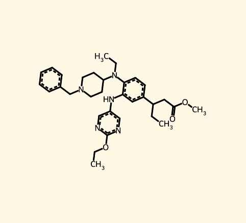 CCOc1ncc(Nc2cc(C(CC)CC(=O)OC)ccc2N(CC)C2CCN(Cc3ccccc3)CC2)cn1